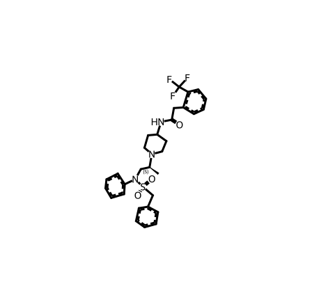 C[C@@H](CN(c1ccccc1)S(=O)(=O)Cc1ccccc1)N1CCC(NC(=O)Cc2ccccc2C(F)(F)F)CC1